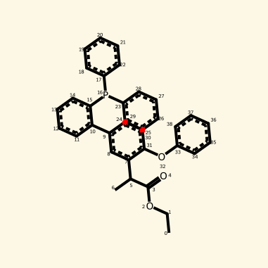 CCOC(=O)C(C)c1cc(-c2ccccc2P(c2ccccc2)c2ccccc2)ccc1Oc1ccccc1